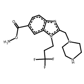 NOC(=O)c1ccc2nc(CN3CCNCC3)n(CCC(F)(F)F)c2c1